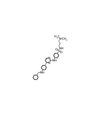 CN(C)CCCNS(=O)(=O)c1ccc(Nc2nccc(-c3ccc(NCc4ccccc4)cc3)n2)cc1